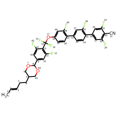 C/C=C/CCC1COC(c2cc(F)c(C(F)(F)Oc3ccc(-c4ccc(-c5cc(F)c(C#N)c(F)c5)c(F)c4)c(F)c3)c(F)c2)OC1